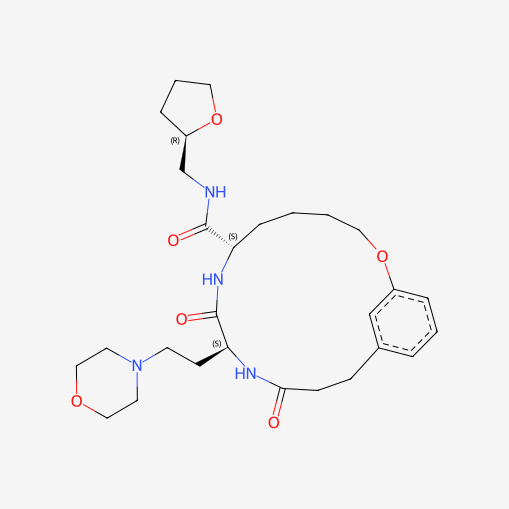 O=C1CCc2cccc(c2)OCCCC[C@@H](C(=O)NC[C@H]2CCCO2)NC(=O)[C@H](CCN2CCOCC2)N1